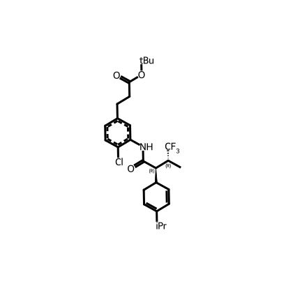 CC(C)C1=CCC([C@@H](C(=O)Nc2cc(CCC(=O)OC(C)(C)C)ccc2Cl)[C@@H](C)C(F)(F)F)C=C1